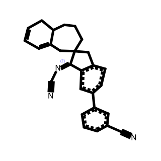 N#C/N=C1\c2cc(-c3cccc(C#N)c3)ccc2CC12CCCC1CC=CC=C1C2